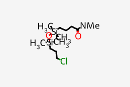 CNC(=O)CCC[Si](C)(C)O[Si](C)(C)CCCCl